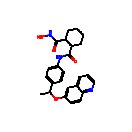 CC(Oc1ccc2ncccc2c1)c1ccc(NC(=O)C2CCCCC2C(=O)NO)cc1